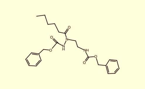 CCCCCC(=O)N(CCNC(=O)OCc1ccccc1)NC(=O)OCc1ccccc1